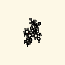 COc1ccc([C@@](Cc2ccccc2)(NC(=O)[C@H]2CC(=O)N2[Si](C)(C)C(C)(C)C)c2cc(F)cc(OC(F)(F)C(F)F)c2)cc1F